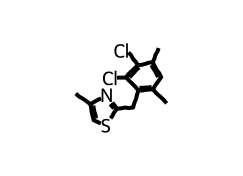 Cc1csc(Cc2c(C)cc(C)c(Cl)c2Cl)n1